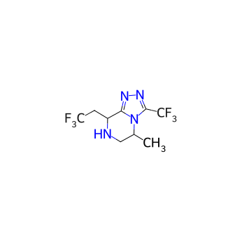 CC1CNC(CC(F)(F)F)c2nnc(C(F)(F)F)n21